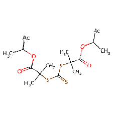 CC(=O)C(C)OC(=O)C(C)(C)SC(=S)SC(C)(C)C(=O)OC(C)C(C)=O